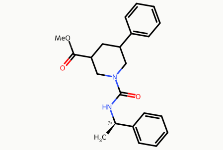 COC(=O)C1CC(c2ccccc2)CN(C(=O)N[C@H](C)c2ccccc2)C1